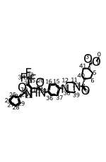 COC(=O)[C@H]1CC[C@@H](C(=O)N2CCN(c3ccc(NC(=O)c4nc(-c5ccccc5)oc4C(F)(F)F)cc3)CC2)CC1